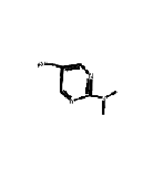 CN(C)c1ncc(C(C)(C)C)cn1